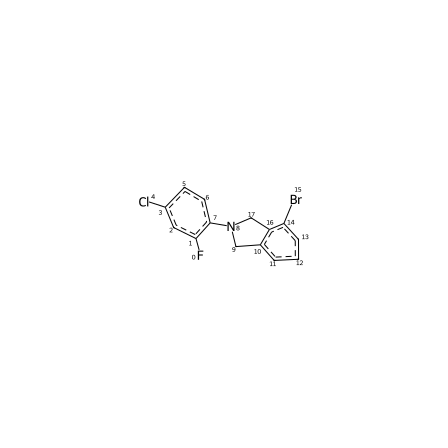 Fc1cc(Cl)ccc1N1Cc2cccc(Br)c2C1